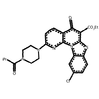 CCOC(=O)c1c(=O)c2ccc(N3CCN(C(=O)C(C)C)CC3)nc2n2c1sc1ccc(Cl)cc12